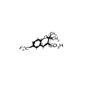 CC1(C)Oc2ccc(C(F)(F)F)cc2C=C1S(=O)(=O)O